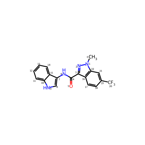 Cn1nc(C(=O)Nc2c[nH]c3ccccc23)c2ccc(C(F)(F)F)cc21